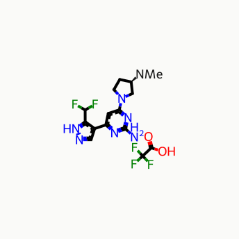 CN[C@@H]1CCN(c2cc(-c3cn[nH]c3C(F)F)nc(N)n2)C1.O=C(O)C(F)(F)F